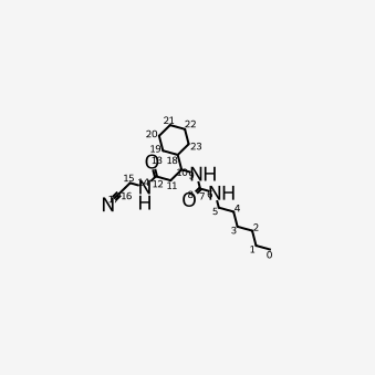 CCCCCCNC(=O)NC(CC(=O)NCC#N)C1CCCCC1